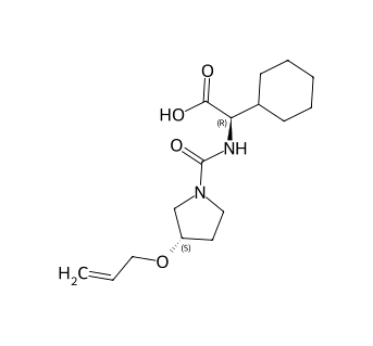 C=CCO[C@H]1CCN(C(=O)N[C@@H](C(=O)O)C2CCCCC2)C1